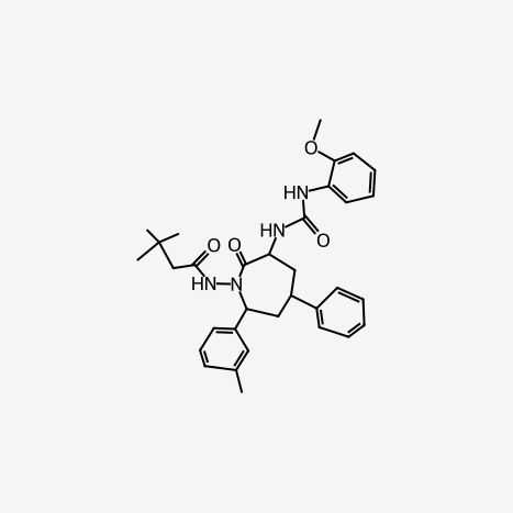 COc1ccccc1NC(=O)NC1CC(c2ccccc2)CC(c2cccc(C)c2)N(NC(=O)CC(C)(C)C)C1=O